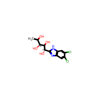 CC(O)[C@H](O)C(O)[C@@H](O)c1nc2cc(Cl)c(Cl)cc2[nH]1